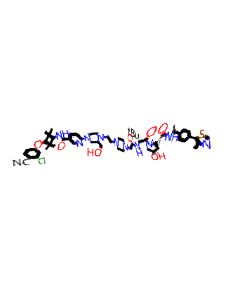 Cc1ncsc1-c1ccc([C@H](C)NC(=O)[C@@H]2C[C@@H](O)CN2C(=O)C(NC(=O)CN2CCN(CCN3CCN(c4ccc(C(=O)NC5C(C)(C)C(Oc6ccc(C#N)c(Cl)c6)C5(C)C)cn4)CC3CO)CC2)C(C)(C)C)cc1